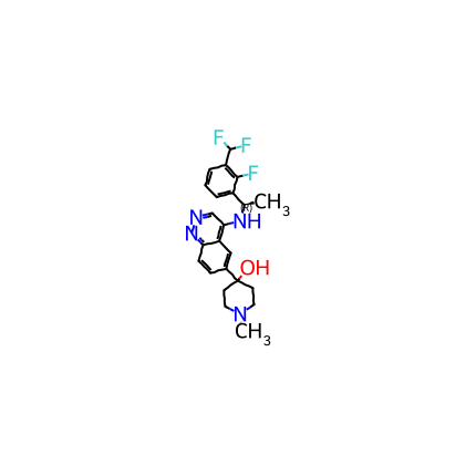 C[C@@H](Nc1cnnc2ccc(C3(O)CCN(C)CC3)cc12)c1cccc(C(F)F)c1F